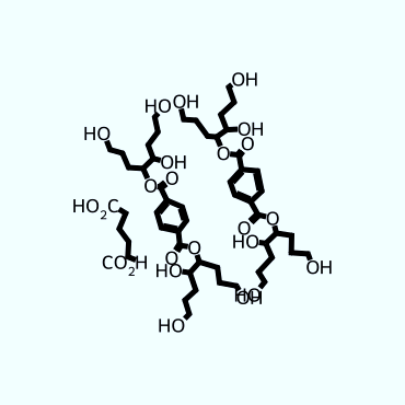 O=C(O)CCCCC(=O)O.O=C(OC(CCCO)C(O)CCCO)c1ccc(C(=O)OC(CCCO)C(O)CCCO)cc1.O=C(OC(CCCO)C(O)CCCO)c1ccc(C(=O)OC(CCCO)C(O)CCCO)cc1